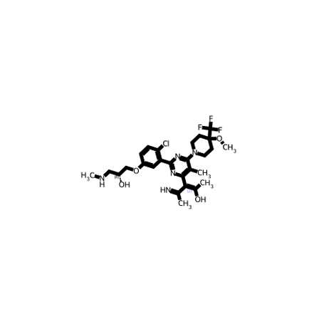 CNC[C@@H](O)COc1ccc(Cl)c(-c2nc(/C(C(C)=N)=C(\C)O)c(C)c(N3CCC(OC)(C(F)(F)F)CC3)n2)c1